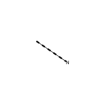 C#CC#CC#CC#CC#CC#N